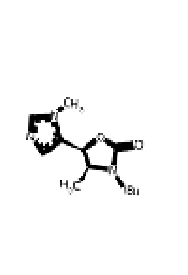 CCC(C)N1C(=O)O[C@H](c2cncn2C)[C@@H]1C